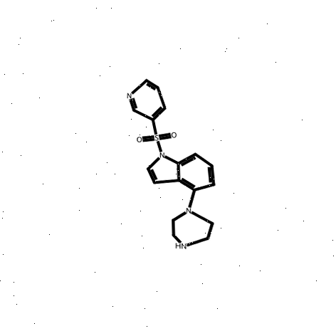 O=S(=O)(c1cccnc1)n1ccc2c(N3CCNCC3)cccc21